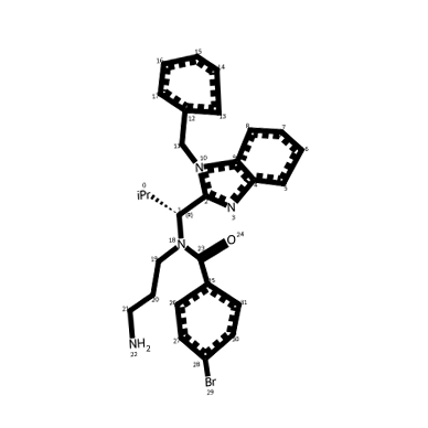 CC(C)[C@H](c1nc2ccccc2n1Cc1ccccc1)N(CCCN)C(=O)c1ccc(Br)cc1